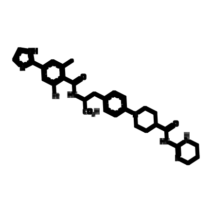 CCc1cc(-c2ncc[nH]2)cc(C)c1C(=O)NC(Cc1ccc(N2CCC(C(=O)NC3=NCCCN3)CC2)cc1)C(=O)O